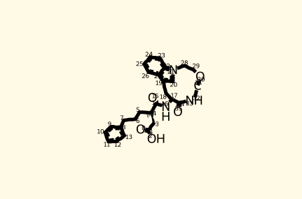 O=C(O)C[C@@H](CCCc1ccccc1)C(=O)NC1Cc2cn(c3ccccc23)CCOCCNC1=O